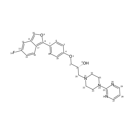 O[C@@H](COc1ccc(-c2occ3cc(F)ccc23)cc1)CN1CCN(c2ncccn2)CC1